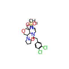 CC12COCC(N3CCCC3)C1N(C(=O)Cc1ccc(Cl)c(Cl)c1)CCN2S(C)(=O)=O